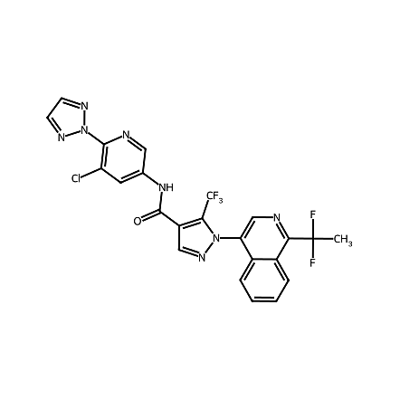 CC(F)(F)c1ncc(-n2ncc(C(=O)Nc3cnc(-n4nccn4)c(Cl)c3)c2C(F)(F)F)c2ccccc12